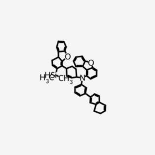 C[SiH](C)C1=CCC2C(=C1C1C=CC(N(c3cccc(-c4ccc5c(c4)CCC=C5)c3)c3cccc4oc5ccccc5c34)CC1)Oc1ccccc12